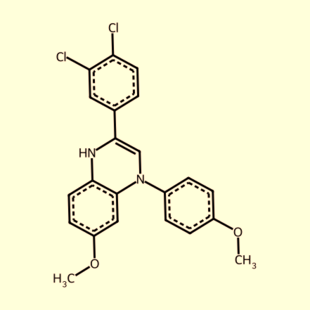 COc1ccc(N2C=C(c3ccc(Cl)c(Cl)c3)Nc3ccc(OC)cc32)cc1